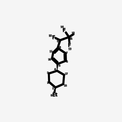 CC[C@H]1CC[C@H](c2ccc(C(F)C(C)(F)F)cc2)CC1